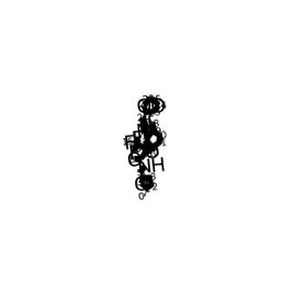 C[C@H]1CC[C@H](CNC(=O)c2oc3c(c2C(F)(F)F)-c2nn(C[C@H]4COCCO4)cc2CC3)O1